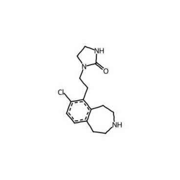 O=C1NCCN1CCc1c(Cl)ccc2c1CCNCC2